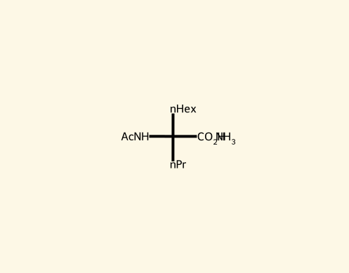 CCCCCCC(CCC)(NC(C)=O)C(=O)O.N